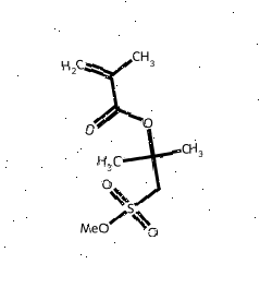 C=C(C)C(=O)OC(C)(C)CS(=O)(=O)OC